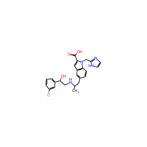 CC(Cc1ccc2c(c1)cc(C(=O)O)n2Cc1ncc[nH]1)NCC(O)c1cccc(Cl)c1